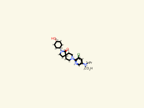 CCCN(C(=O)O)c1cnc(N2CCC3(CC2)CCN([C@H]2CC[C@@H](O)CC2)C3=O)c(Cl)c1